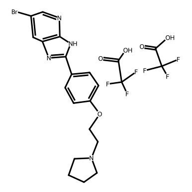 Brc1cnc2[nH]c(-c3ccc(OCCN4CCCC4)cc3)nc2c1.O=C(O)C(F)(F)F.O=C(O)C(F)(F)F